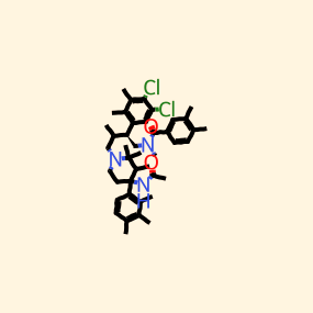 CC(=O)NC1(c2ccc(C)c(C)c2C)CCN(CC(C)[C@H](CN(C)C(=O)c2ccc(C)c(C)c2)c2cc(Cl)c(Cl)c(C)c2C)C(C)(C)C1C